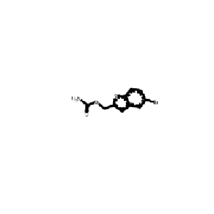 NC(=O)OCc1cc2cc(Br)ccc2s1